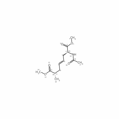 COC(=O)[C@H](CC=CC[C@H](C)C(=O)OC)NC(C)=O